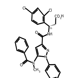 CN(C(=O)c1ccccc1)c1cc(C(=O)N[C@@H](CC(=O)O)c2ccc(Cl)cc2Cl)nn1-c1ccccc1